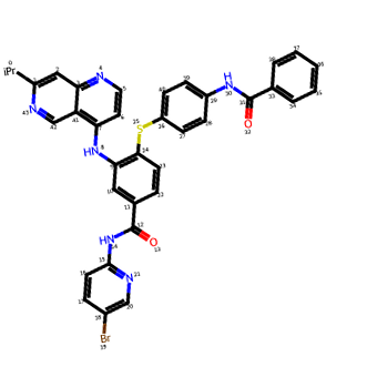 CC(C)c1cc2nccc(Nc3cc(C(=O)Nc4ccc(Br)cn4)ccc3Sc3ccc(NC(=O)c4ccccc4)cc3)c2cn1